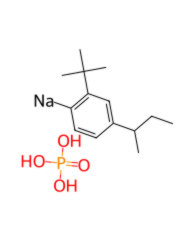 CCC(C)c1cc[c]([Na])c(C(C)(C)C)c1.O=P(O)(O)O